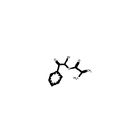 C=C(C)C(=O)OC(CC)C(=O)c1[c]cccc1